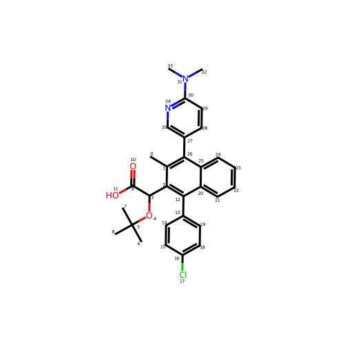 Cc1c(C(OC(C)(C)C)C(=O)O)c(-c2ccc(Cl)cc2)c2ccccc2c1-c1ccc(N(C)C)nc1